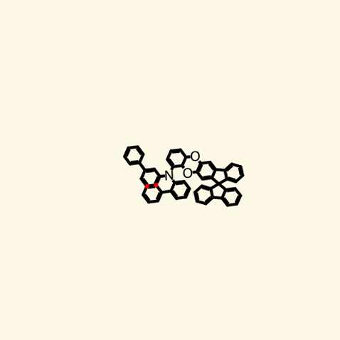 C1=CC2Oc3cc4c(cc3OC2C(N(c2cccc(-c3ccccc3)c2)c2ccccc2-c2ccccc2)=C1)C1(c2ccccc2-c2ccccc21)c1ccccc1-4